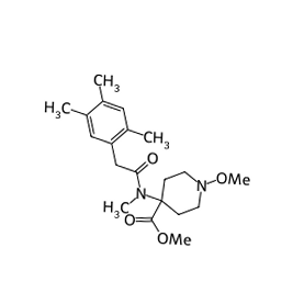 COC(=O)C1(N(C)C(=O)Cc2cc(C)c(C)cc2C)CCN(OC)CC1